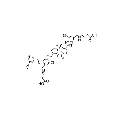 Cc1c(COc2cc(OCc3cncc(C#N)c3)c(CNCCCC(=O)O)cc2Cl)cccc1-c1cccc(-c2nc3c(Cl)cc(CNCCCC(=O)O)cn3n2)c1C